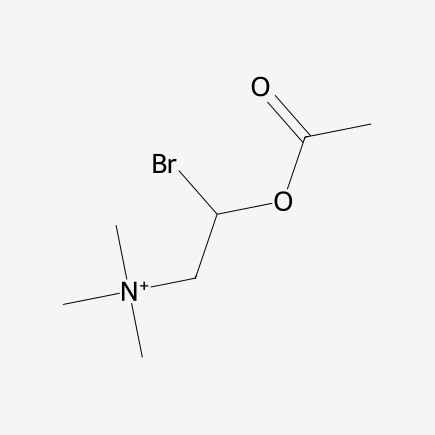 CC(=O)OC(Br)C[N+](C)(C)C